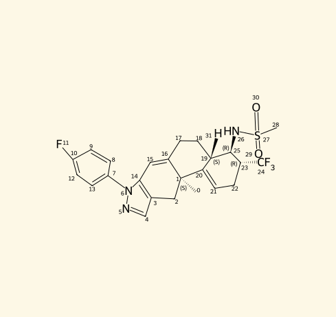 C[C@]12Cc3cnn(-c4ccc(F)cc4)c3C=C1CC[C@H]1C2=CC[C@@H](C(F)(F)F)[C@@H]1NS(C)(=O)=O